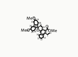 C=Cc1c(C(=O)OC)c2c(c3ccccc13)OC(c1ccc(OC)cc1)(c1ccc(OC)cc1)C=C2